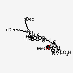 CCCCCCCCCCCCCCCCCCN(CCCCCCCCCCCCCCCCCC)C(=O)CCC(C)C1CCC2C3CCC4CC(OC(=O)NCCCCCC(=O)N5CC(OC(=O)CCC(=O)O)CC5C(OCc5ccccc5)(c5ccc(OC)cc5)c5ccc(OC)cc5)CC(C)C4C3CCC12C